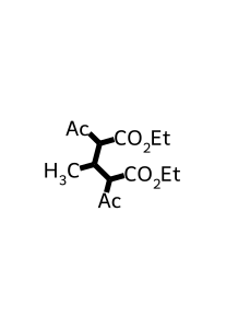 CCOC(=O)C(C(C)=O)C(C)C(C(C)=O)C(=O)OCC